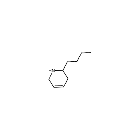 CCCCC1CC=CCN1